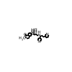 CN1CCc2cc(OCCCNC(CCc3cccnc3)c3ccncc3)ccc2C1=O.Cl.Cl.Cl